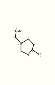 CCC1CCN(COC)CC1